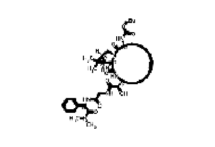 CN(C)C(=O)[C@@H](NC(=O)CNC(=O)C(O)[C@@H]1CCCCC=CCCCC[C@H](NC(=O)OC(C)(C)C)C(=O)N2C[C@H]3[C@@H]([C@H]2C(=O)N1)C3(C)C)c1ccccc1